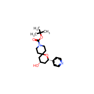 CC(C)(C)OC(=O)N1CCC2(CC1)C[C@@H](O)C[C@@H](c1ccncc1)O2